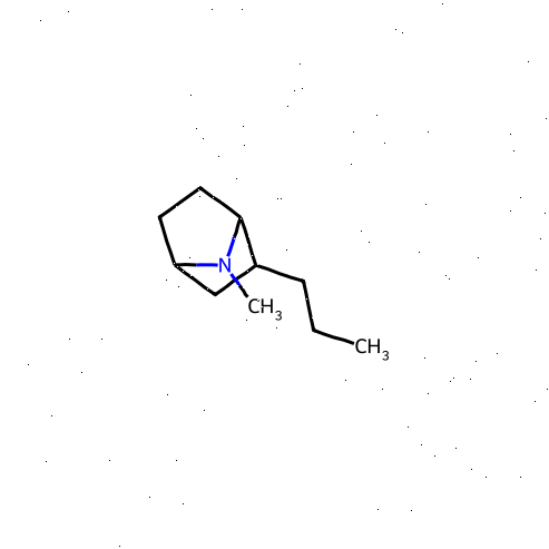 CCCC1CC2CCC1N2C